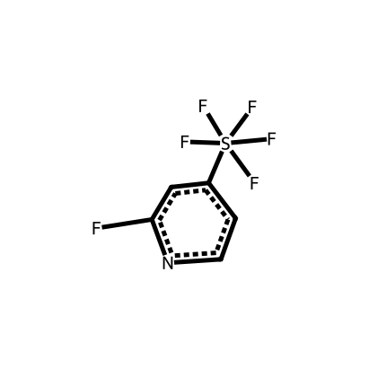 Fc1cc(S(F)(F)(F)(F)F)ccn1